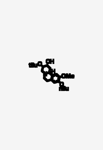 CCCCOc1cc2c(cc1OC)[C@H]1C[C@@H](O)[C@H](OC(C)(C)C)CN1CC2